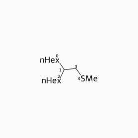 CCCCCCC(CCCCCC)CSC